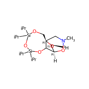 [3H][C@@H]1O[C@]23CO[Si](C(C)C)(C(C)C)O[Si](C(C)C)(C(C)C)OC2[C@@H]1ON(C)C3